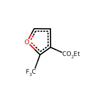 CCOC(=O)c1ccoc1C(F)(F)F